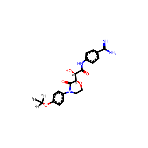 [2H]C([2H])([2H])Oc1ccc(N2CCO[C@H]([C@@H](O)C(=O)Nc3ccc(C(=N)N)cc3)C2=O)cc1